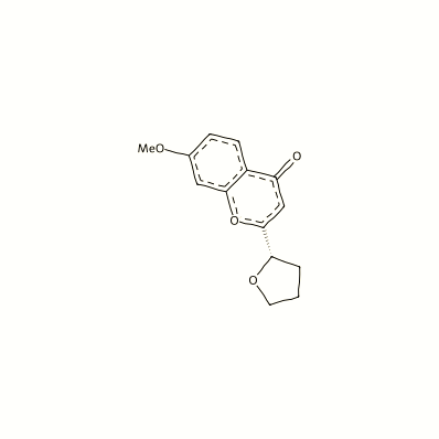 COc1ccc2c(=O)cc([C@@H]3CCCO3)oc2c1